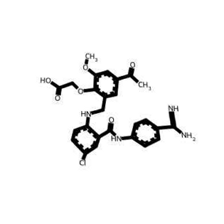 COc1cc(C(C)=O)cc(CNc2ccc(Cl)cc2C(=O)Nc2ccc(C(=N)N)cc2)c1OCC(=O)O